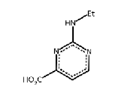 CCNc1nccc(C(=O)O)n1